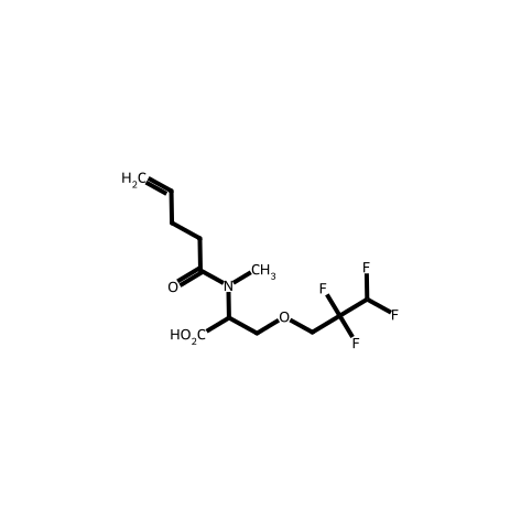 C=CCCC(=O)N(C)C(COCC(F)(F)C(F)F)C(=O)O